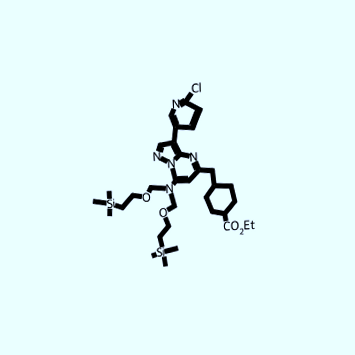 CCOC(=O)C1CCC(Cc2cc(N(COCC[Si](C)(C)C)COCC[Si](C)(C)C)n3ncc(-c4ccc(Cl)nc4)c3n2)CC1